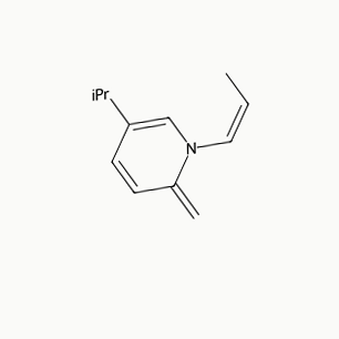 C=C1C=CC(C(C)C)=CN1/C=C\C